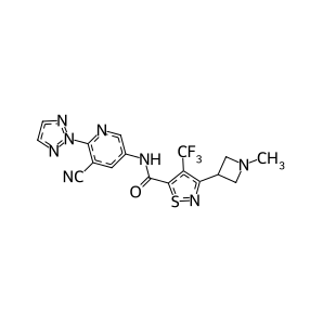 CN1CC(c2nsc(C(=O)Nc3cnc(-n4nccn4)c(C#N)c3)c2C(F)(F)F)C1